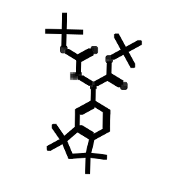 CC(C)(C)OC(=O)NN(C(=O)OC(C)(C)C)c1ccc2c(c1)C(C)(C)CC2(C)C